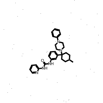 CC1CCC(c2cccc(NC(=O)Nc3ccccn3)c2)(N2CCN(c3ccccc3)CC2)CC1